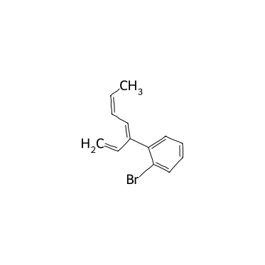 C=C/C(=C\C=C/C)c1ccccc1Br